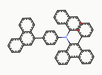 c1ccc(-c2c(N(c3ccc(-c4cc5ccccc5c5ccccc45)cc3)c3cccc4ccccc34)c3ccccc3c3ccccc23)cc1